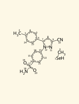 C[SeH].Cc1ccc(-c2cc(C#N)nn2-c2ccc(S(N)(=O)=O)cc2)cc1